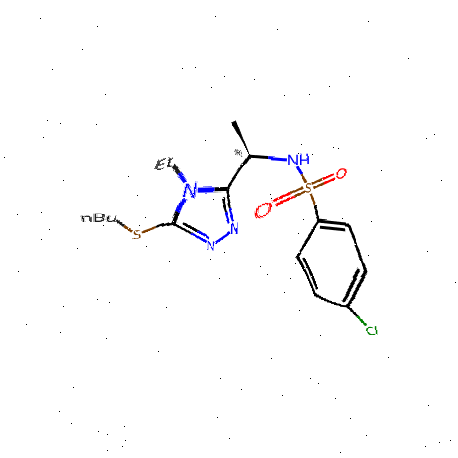 CCCCSc1nnc([C@@H](C)NS(=O)(=O)c2ccc(Cl)cc2)n1CC